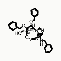 OC[C@@]12O[C@H]([C@H](OCc3ccccc3)[C@@H]1OCc1ccccc1)n1cnc3c1=NCN(O2)C=3NCc1ccccc1